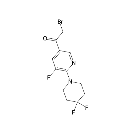 O=C(CBr)c1cnc(N2CCC(F)(F)CC2)c(F)c1